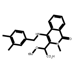 Cc1ccc(CNc2c(C(OC(C)(C)C)C(=O)O)n(C)c(=O)c3ccccc23)cc1C